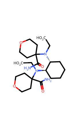 NC(=O)C1(N(CC(=O)O)[C@@H]2CCCC[C@H]2N(CC(=O)O)C2(C(N)=O)CCOCC2)CCOCC1